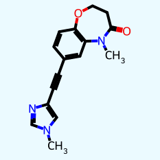 CN1C(=O)CCOc2ccc(C#Cc3cn(C)cn3)cc21